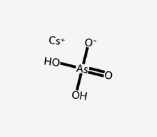 O=[As]([O-])(O)O.[Cs+]